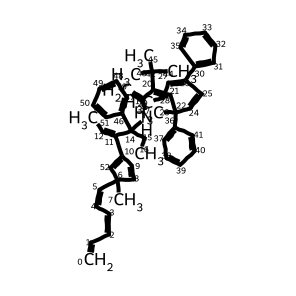 C=C/C=C\C=C/C1(C)C=CC(/C(=C/C)C(CC)(NC(=C)/C(=C\C(C)(/C=C\C(=C/CC)c2ccccc2)c2ccccc2)C(C)(C)C)c2ccccc2)=C1